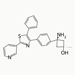 C[C@]1(O)C[C@](N)(c2ccc(-c3nc(-c4cccnc4)sc3-c3ccccc3)cc2)C1